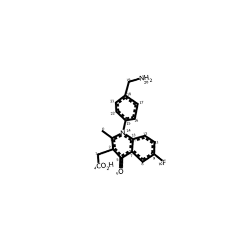 Cc1c(CC(=O)O)c(=O)c2cc(F)ccc2n1-c1ccc(CN)cc1